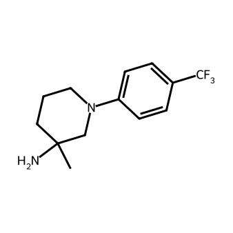 CC1(N)CCCN(c2ccc(C(F)(F)F)cc2)C1